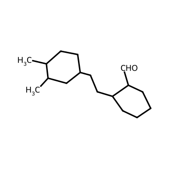 CC1CCC(CCC2CCCCC2C=O)CC1C